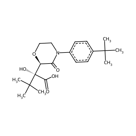 CC(C)(C)c1ccc(N2CCO[C@H]([C@@](O)(C(=O)O)C(C)(C)C)C2=O)cc1